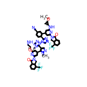 CO[C@H]1C[C@@H]1Nc1cc(-c2cc(C#N)ccc2-c2nncn2-[n+]2ncn(C)c2-c2cnn(C)c2-c2cc(OCCN)nc(N3Cc4c(cccc4C(F)(F)F)C3=O)c2)cc(N2Cc3c(cccc3C(F)(F)F)C2=O)n1